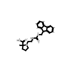 CC1(C(=O)O)CCCN1CCNC(=O)OCC1c2ccccc2-c2ccccc21